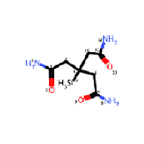 NC(=O)CC([SiH3])(CC(N)=O)CC(N)=O